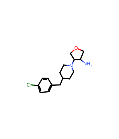 NC1COCC1N1CCC(Cc2ccc(Cl)cc2)CC1